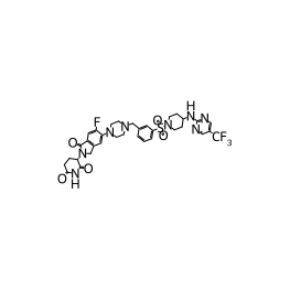 O=C1CCC(N2Cc3cc(N4CCN(Cc5cccc(S(=O)(=O)N6CCC(Nc7ncc(C(F)(F)F)cn7)CC6)c5)CC4)c(F)cc3C2=O)C(=O)N1